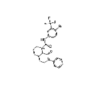 O=C(Nc1ccc(Br)c(C(F)(F)F)c1)[C@H]1CC=CC2CCN(c3ccccc3)C(=O)C21